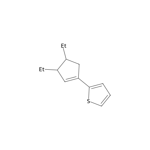 CCC1C=C(c2cccs2)CC1CC